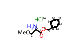 COCC(N)C(=O)OCc1ccccc1.Cl